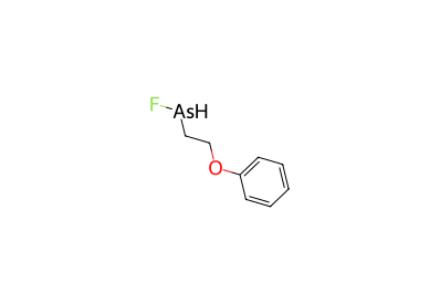 F[AsH]CCOc1ccccc1